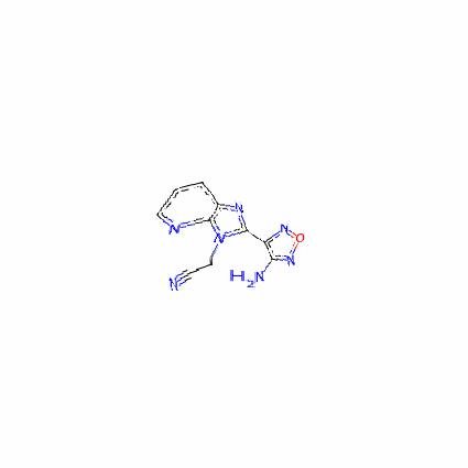 N#CCn1c(-c2nonc2N)nc2cccnc21